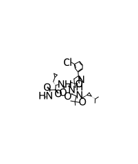 CNC(=O)C(=O)[C@H](CC1CC1)NC(=O)[C@@H]1C[C@]2(CC(c3cccc(Cl)c3)=NO2)CN1C(=O)[C@@H](NC(=O)[C@H]1C[C@@H]1C(C)C)C(C)(C)C